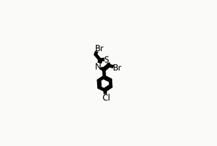 Clc1ccc(-c2nc(CBr)sc2Br)cc1